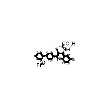 CCOc1ccccc1-c1ccc(-c2nc3ccc(F)cc3c(NCC(=O)O)c2C)cc1